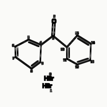 Br.Br.O=C(c1ccccc1)c1ccccc1